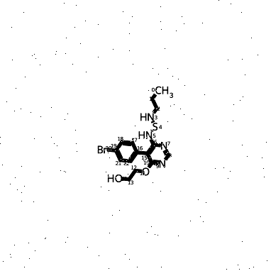 CCCNSNc1ncnc(OCCO)c1-c1ccc(Br)cc1